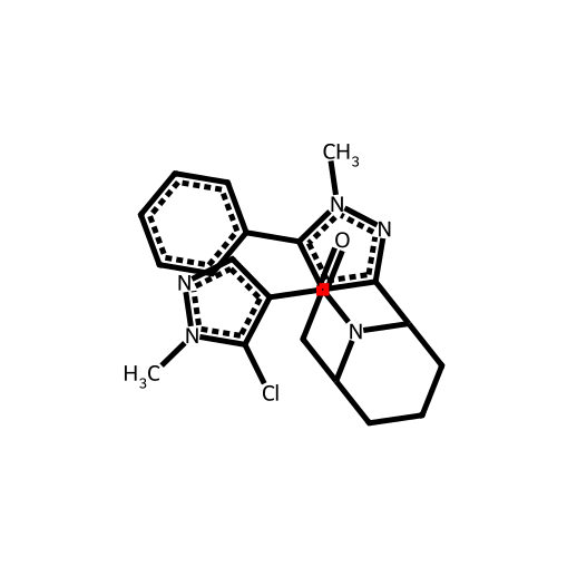 Cn1ncc(C(=O)N2C3CCCC2c2nn(C)c(-c4ccccc4)c2C3)c1Cl